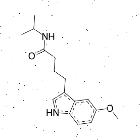 COc1ccc2[nH]cc(CCCC(=O)NC(C)C)c2c1